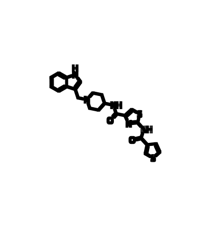 O=C(Nc1nc(C(=O)NC2CCN(Cc3c[nH]c4ccccc34)CC2)cs1)c1ccsc1